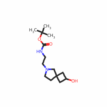 CC(C)(C)OC(=O)NCCN1CCC2(CC(O)C2)C1